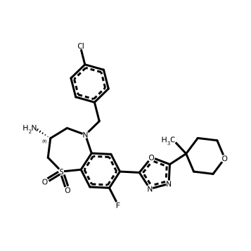 CC1(c2nnc(-c3cc4c(cc3F)S(=O)(=O)C[C@H](N)CN4Cc3ccc(Cl)cc3)o2)CCOCC1